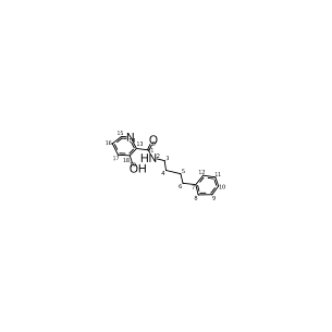 O=C(NCCCCc1ccccc1)c1ncccc1O